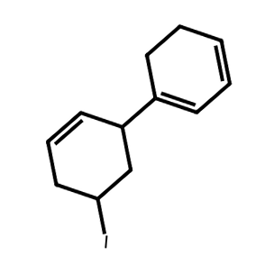 IC1CC=CC(C2=CC=CCC2)C1